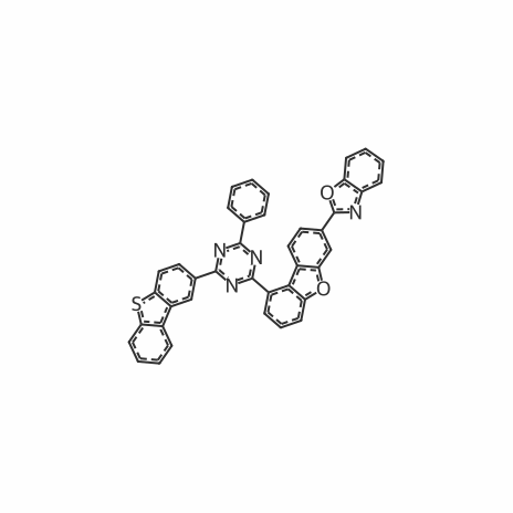 c1ccc(-c2nc(-c3ccc4sc5ccccc5c4c3)nc(-c3cccc4oc5cc(-c6nc7ccccc7o6)ccc5c34)n2)cc1